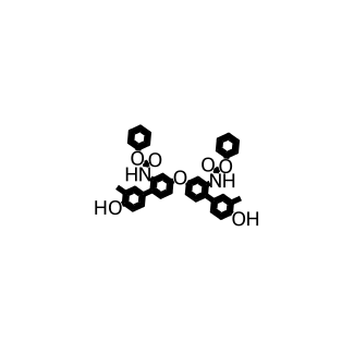 Cc1cc(-c2ccc(Oc3ccc(-c4ccc(O)c(C)c4)c(NC(=O)Oc4ccccc4)c3)cc2NC(=O)Oc2ccccc2)ccc1O